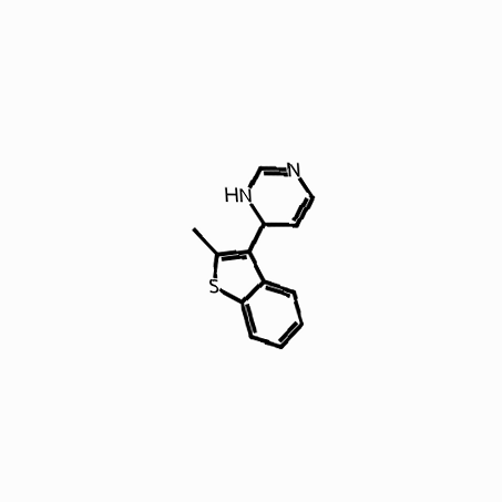 Cc1sc2ccccc2c1C1C=CN=CN1